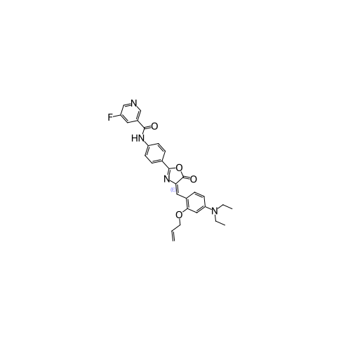 C=CCOc1cc(N(CC)CC)ccc1/C=C1/N=C(c2ccc(NC(=O)c3cncc(F)c3)cc2)OC1=O